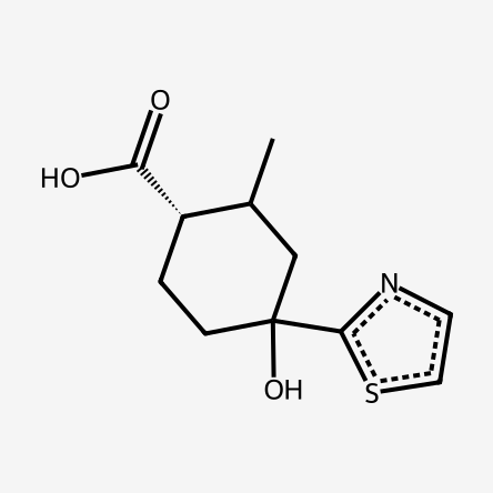 CC1CC(O)(c2nccs2)CC[C@@H]1C(=O)O